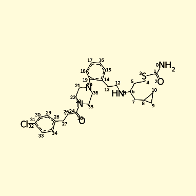 NC(=O)SCCC(CC1CC1)NCCc1ccccc1N1CCN(C(=O)[CH]Cc2ccc(Cl)cc2)CC1